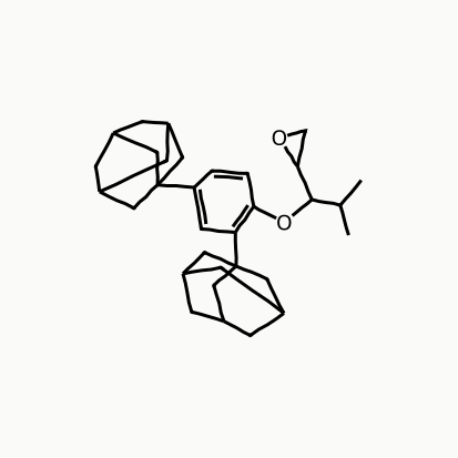 CC(C)C(Oc1ccc(C23CC4CC(CC(C4)C2)C3)cc1C12CC3CC(CC(C3)C1)C2)C1CO1